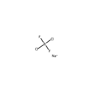 F[B-](F)(Cl)Cl.[Na+]